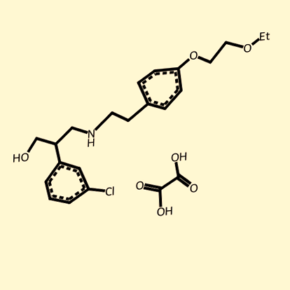 CCOCCOc1ccc(CCNCC(CO)c2cccc(Cl)c2)cc1.O=C(O)C(=O)O